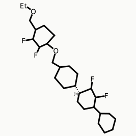 CCOCC1CCC(OCC2CCC([C@H]3CCC(C4CCCCC4)C(F)C3F)CC2)C(F)C1F